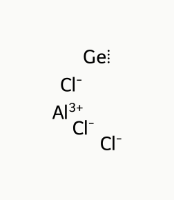 [Al+3].[Cl-].[Cl-].[Cl-].[Ge]